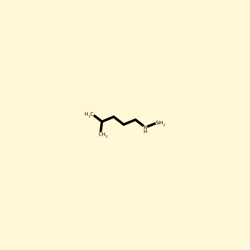 C[C](C)CCCN[SiH3]